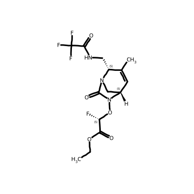 CCOC(=O)[C@H](F)ON1C(=O)N2C[C@@H]1C=C(C)[C@H]2CNC(=O)C(F)(F)F